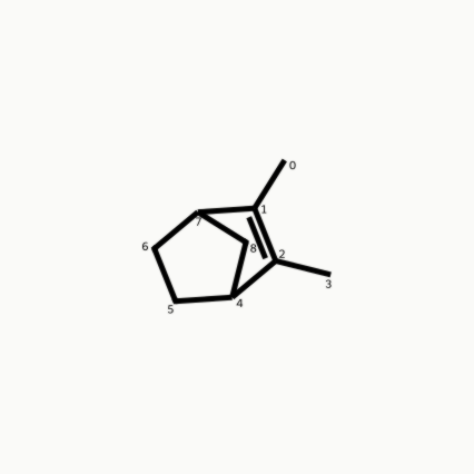 CC1=C(C)C2CCC1C2